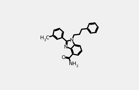 Cc1cccc(-c2nc3c(C(N)=O)cccc3n2CCCc2ccccc2)c1